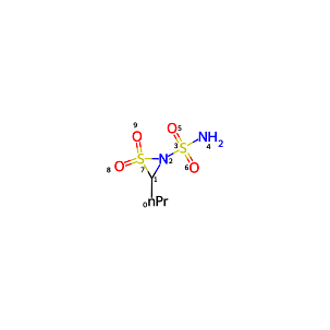 CCCC1N(S(N)(=O)=O)S1(=O)=O